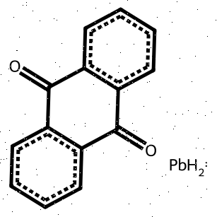 O=C1c2ccccc2C(=O)c2ccccc21.[PbH2]